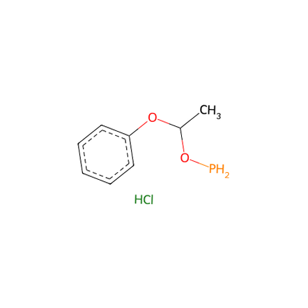 CC(OP)Oc1ccccc1.Cl